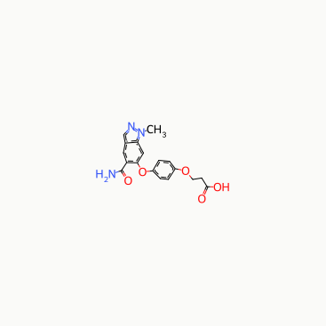 Cn1ncc2cc(C(N)=O)c(Oc3ccc(OCCC(=O)O)cc3)cc21